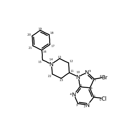 Clc1ncnc2c1c(Br)nn2C1CCN(Cc2ccccc2)CC1